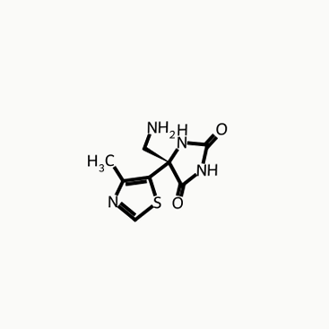 Cc1ncsc1[C@]1(CN)NC(=O)NC1=O